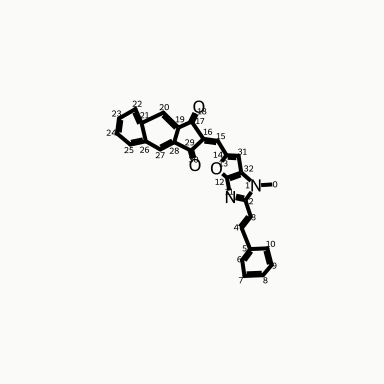 Cn1c(/C=C/c2ccccc2)nc2oc(C=C3C(=O)c4cc5ccccc5cc4C3=O)cc21